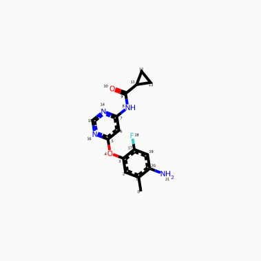 Cc1cc(Oc2cc(NC(=O)C3CC3)ncn2)c(F)cc1N